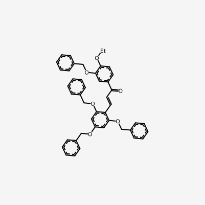 CCOc1ccc(C(=O)/C=C/c2c(OCc3ccccc3)cc(OCc3ccccc3)cc2OCc2ccccc2)cc1OCc1ccccc1